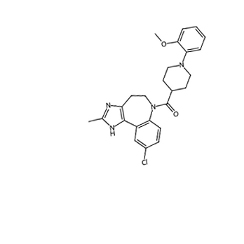 COc1ccccc1N1CCC(C(=O)N2CCc3nc(C)[nH]c3-c3cc(Cl)ccc32)CC1